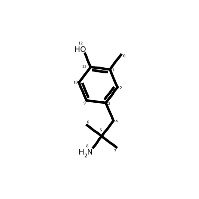 Cc1cc(CC(C)(C)N)ccc1O